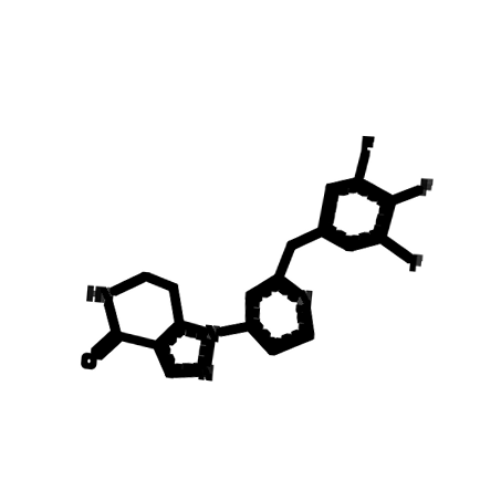 O=C1NCCc2c1cnn2-c1ccnc(Cc2cc(F)c(F)c(F)c2)c1